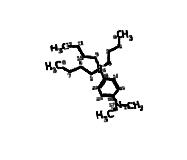 CCCC[B-](CCCC)(CCCC)c1ccc(N(C)C)cc1